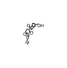 C[Si](C)(C)CCOCN1C(=O)CCC(N2Cc3cc(CO)ccc3C2=O)C1=O